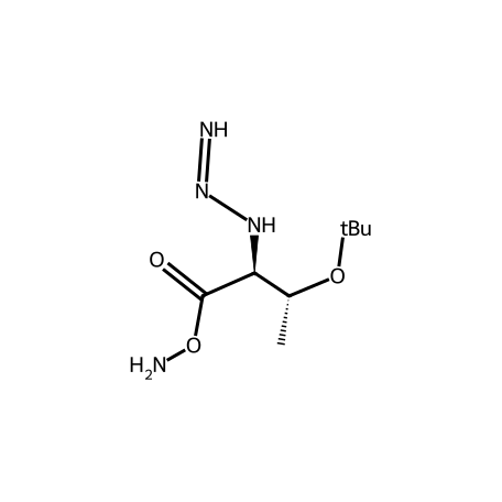 C[C@@H](OC(C)(C)C)[C@H](NN=N)C(=O)ON